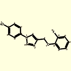 Oc1ccc(-n2cc(COc3ccccc3F)nn2)cc1